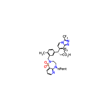 CCCCCN1CCN(Cc2cc([C@@H](CC(=O)O)c3ccn4c(C(F)(F)F)nnc4c3C)ccc2C)S(=O)(=O)c2cccnc21